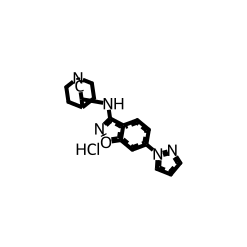 Cl.c1cnn(-c2ccc3c(NC4CN5CCC4CC5)noc3c2)c1